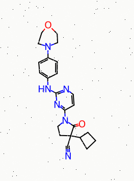 N#CC1(C2CCC2)CCN(c2ccnc(Nc3ccc(N4CCOCC4)cc3)n2)C1=O